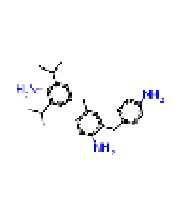 CC(C)c1cc(Cc2ccc(N)c(Cc3ccc(N)cc3)c2)cc(C(C)C)c1N